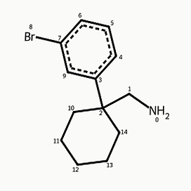 NCC1(c2cccc(Br)c2)CCCCC1